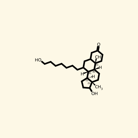 C[C@]12CCC(=O)CC1CC(CCCCCCCO)[C@@H]1[C@H]2CC[C@]2(C)C(O)CC[C@@H]12